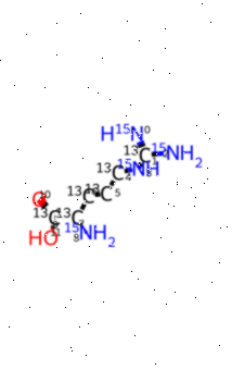 [15NH]=[13C]([15NH2])[15NH][13CH2][13CH2][13CH2][13C@H]([15NH2])[13C](=O)O